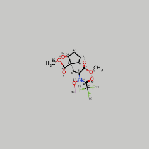 COC(=O)[C@H](C[C@@]1(C(=O)OC)CCCC1=O)N(OI)C(=O)C(F)(F)F